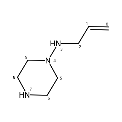 C=CCNN1CCNCC1